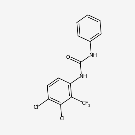 O=C(Nc1ccccc1)Nc1ccc(Cl)c(Cl)c1C(F)(F)F